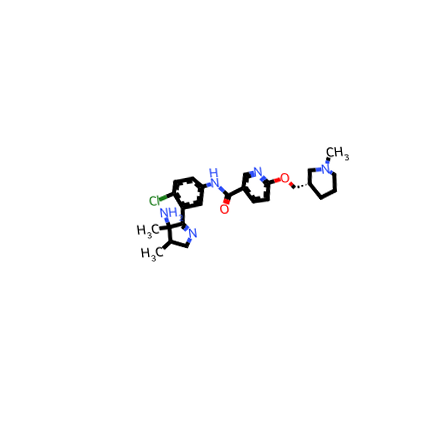 CC1CN=C(c2cc(NC(=O)c3ccc(OC[C@H]4CCCN(C)C4)nc3)ccc2Cl)C1(C)N